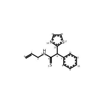 C=CCNC(=S)C(c1ccccc1)c1nccs1